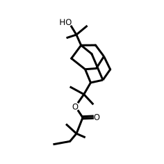 CCC(C)(C)C(=O)OC(C)(C)C1C2CC3CC1CC(C(C)(C)O)(C3)C2